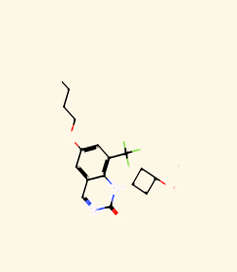 CCCCOc1cc(C(F)(F)F)c2c(cnc(=O)n2[C@H]2C[C@](C)(O)C2)c1